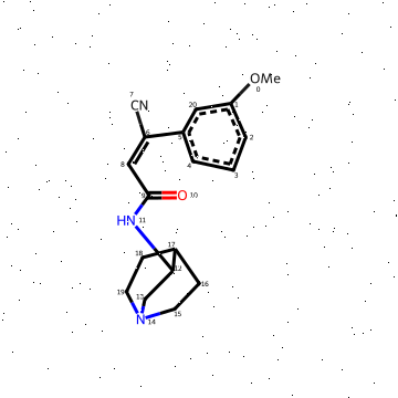 COc1cccc(C(C#N)=CC(=O)NC2CN3CCC2CC3)c1